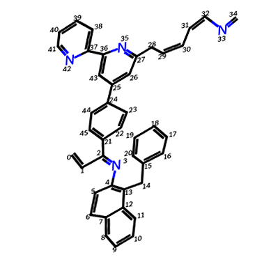 C=C/C(=N\c1ccc2ccccc2c1Cc1ccccc1)c1ccc(-c2cc(C/C=C\C=C/N=C)nc(-c3ccccn3)c2)cc1